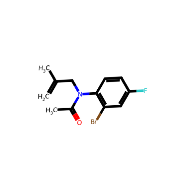 C=C(C)CN(C(C)=O)c1ccc(F)cc1Br